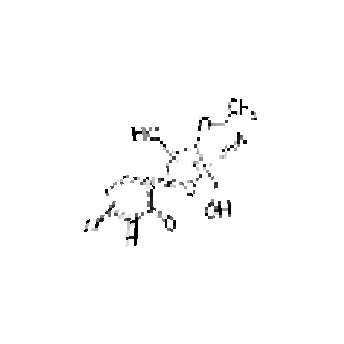 CCOC1[C@H](O)[C@H](n2ccc(=O)[nH]c2=O)O[C@]1(C#N)CO